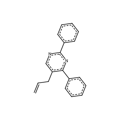 C=CCc1cnc(-c2ccccc2)nc1-c1ccccc1